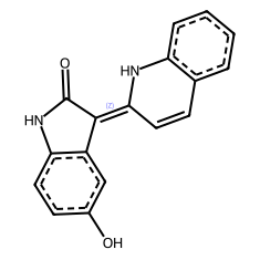 O=C1Nc2ccc(O)cc2/C1=C1\C=Cc2ccccc2N1